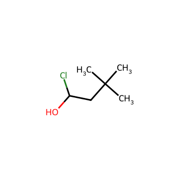 CC(C)(C)CC(O)Cl